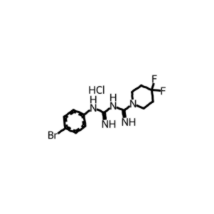 Cl.N=C(NC(=N)N1CCC(F)(F)CC1)Nc1ccc(Br)cc1